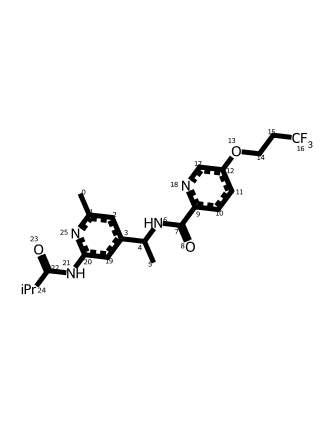 Cc1cc(C(C)NC(=O)c2ccc(OCCC(F)(F)F)cn2)cc(NC(=O)C(C)C)n1